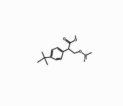 COC(=O)C(CO[SiH](C)C)c1ccc(C(C)(C)C)cc1